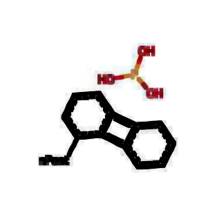 CCCCCc1cccc2c1=c1ccccc1=2.OP(O)O